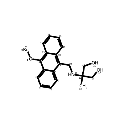 CCCCOc1c2ccccc2c(CNC(C)(CO)CO)c2ccccc12